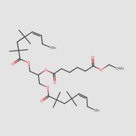 COCOC(=O)CCCCC(=O)OC(COC(=O)C(C)(C)CC(C)(C)/C=C\CC(C)(C)C)COC(=O)C(C)(C)CC(C)(C)/C=C\CC(C)(C)C